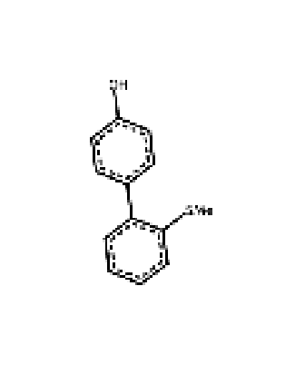 CSc1ccccc1-c1ccc(O)cc1